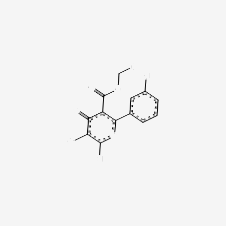 CCOC(=O)c1c(-c2cccc(C)c2)oc(Cl)c(Cl)c1=O